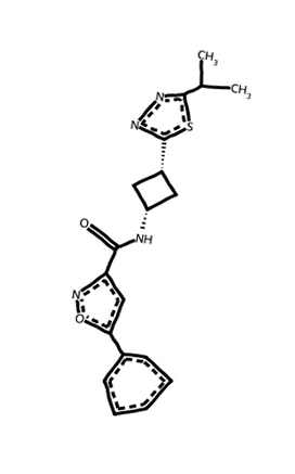 CC(C)c1nnc([C@H]2C[C@@H](NC(=O)c3cc(-c4ccccc4)on3)C2)s1